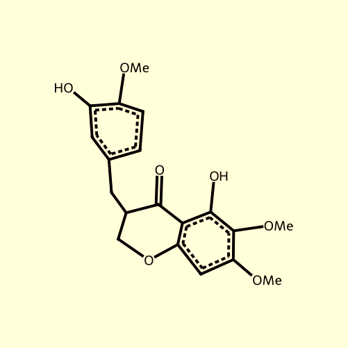 COc1ccc(CC2COc3cc(OC)c(OC)c(O)c3C2=O)cc1O